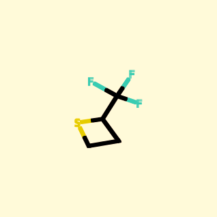 FC(F)(F)C1CCS1